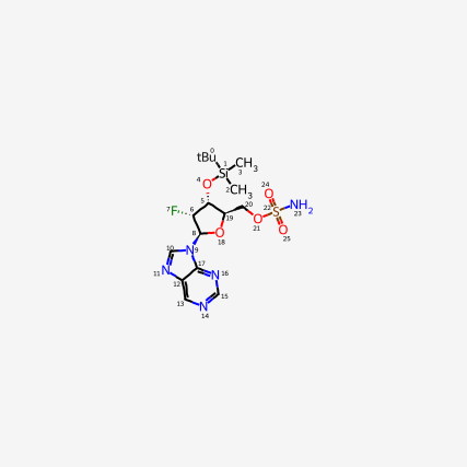 CC(C)(C)[Si](C)(C)O[C@H]1[C@@H](F)[C@H](n2cnc3cncnc32)O[C@@H]1COS(N)(=O)=O